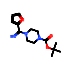 CC(C)(C)OC(=O)N1CCN(C(=N)c2ccco2)CC1